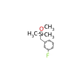 CO[Si](C)(C)Cc1cccc(F)c1